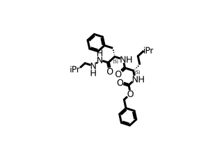 CC(C)CC[C@H](NC(=O)OCc1ccccc1)C(=O)N[C@@H](Cc1ccccc1)C(=O)NNCC(C)C